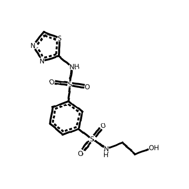 O=S(=O)(NCCO)c1cccc(S(=O)(=O)Nc2nncs2)c1